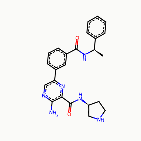 C[C@@H](NC(=O)c1cccc(-c2cnc(N)c(C(=O)N[C@H]3CCNC3)n2)c1)c1ccccc1